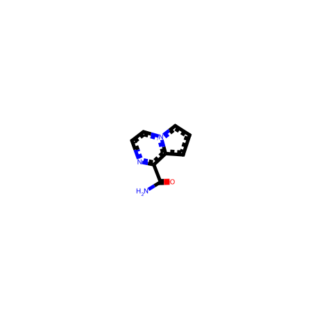 NC(=O)c1nccn2cccc12